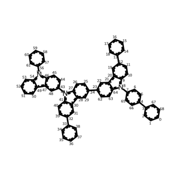 c1ccc(-c2ccc(-n3c4ccc(-c5ccccc5)cc4c4cc(-c5ccc6c(c5)c5cc(-c7ccccc7)ccc5n6-c5ccc6c(c5)c5ccccc5n6-c5ccccc5)ccc43)cc2)cc1